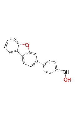 OBc1ccc(-c2ccc3c(c2)oc2ccccc23)cc1